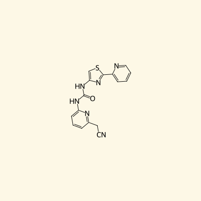 N#CCc1cccc(NC(=O)Nc2csc(-c3ccccn3)n2)n1